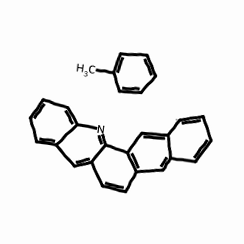 Cc1ccccc1.[c]1cccc2cc3ccc4cc5ccccc5nc4c3cc12